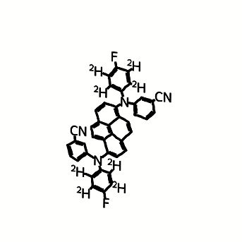 [2H]c1c([2H])c(N(c2cccc(C#N)c2)c2ccc3ccc4c(N(c5cccc(C#N)c5)c5c([2H])c([2H])c(F)c([2H])c5[2H])ccc5ccc2c3c54)c([2H])c([2H])c1F